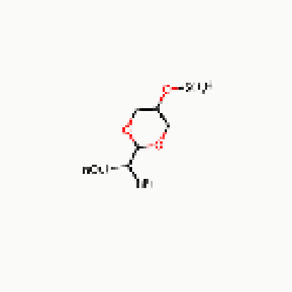 CCCCCCCCC(CCC)C1OCC(OS(=O)(=O)O)CO1